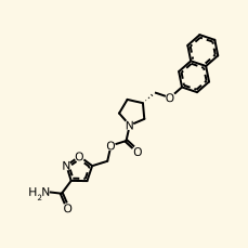 NC(=O)c1cc(COC(=O)N2CC[C@H](COc3ccc4ccccc4c3)C2)on1